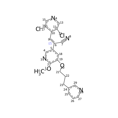 COc1ncc(/C(C#N)=C/c2c(Cl)cncc2Cl)cc1OCCCc1cccnc1